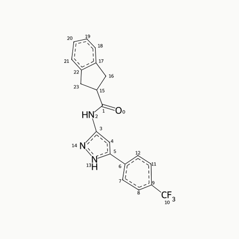 O=C(Nc1cc(-c2ccc(C(F)(F)F)cc2)[nH]n1)C1Cc2ccccc2C1